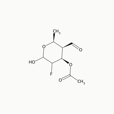 CC(=O)O[C@H]1C(F)C(O)O[C@@H](C)[C@H]1C=O